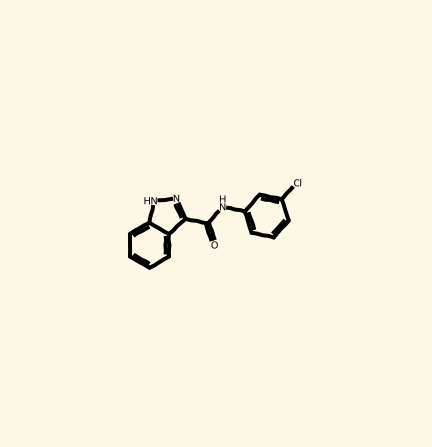 O=C(Nc1cccc(Cl)c1)c1n[nH]c2ccccc12